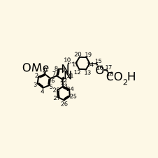 COc1ccccc1-c1cn(C[C@H]2CC[C@H](COCC(=O)O)CC2)nc1-c1ccccc1